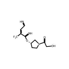 N=C/C=C(\C(=N)O[C@H]1CCN(C(=O)CO)C1)C(F)(F)F